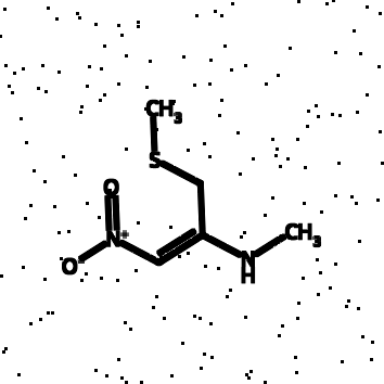 CNC(=C[N+](=O)[O-])CSC